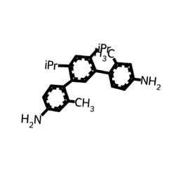 Cc1cc(N)ccc1-c1cc(-c2ccc(N)cc2C)c(C(C)C)cc1C(C)C